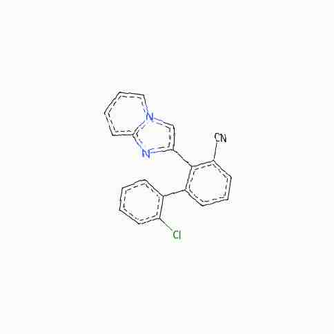 N#Cc1cccc(-c2ccccc2Cl)c1-c1cn2ccccc2n1